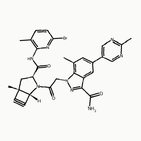 Cc1ncc(-c2cc(C)c3c(c2)c(C(N)=O)nn3CC(=O)N2[C@H](C(=O)Nc3nc(Br)ccc3C)C[C@@]3(C)C#C[C@@H]23)cn1